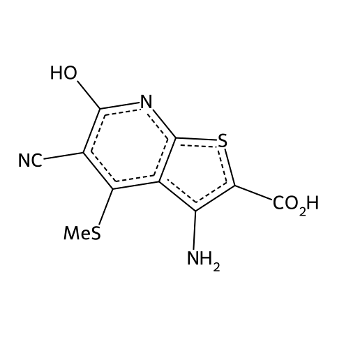 CSc1c(C#N)c(O)nc2sc(C(=O)O)c(N)c12